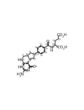 Nc1nc(=O)c2c([nH]1)NCC1CN(c3ccc(C(=O)NC(CCC(=O)O)C(=O)O)cc3)C=[N+]21